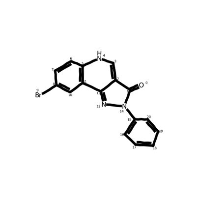 O=c1c2c[nH]c3ccc(Br)cc3c-2nn1-c1ccccc1